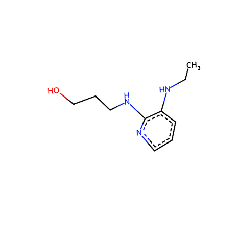 CCNc1cccnc1NCCCO